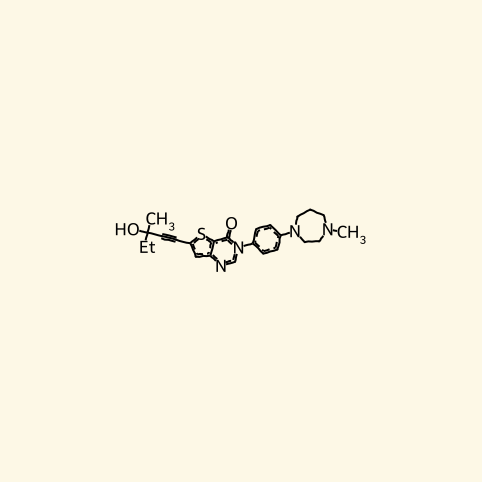 CCC(C)(O)C#Cc1cc2ncn(-c3ccc(N4CCCN(C)CC4)cc3)c(=O)c2s1